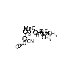 COc1cc(C(=O)NC(C)(C)CN(C)C)ccc1-c1cc2nccc(-c3ccc(OC4C5COCC54)c(C#N)c3)c2o1